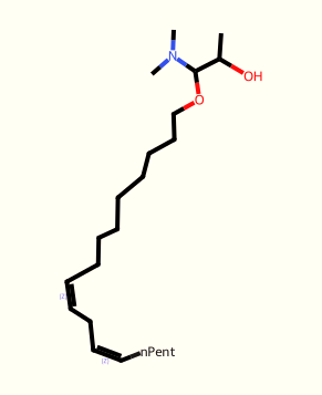 CCCCC/C=C\C/C=C\CCCCCCCCOC(C(C)O)N(C)C